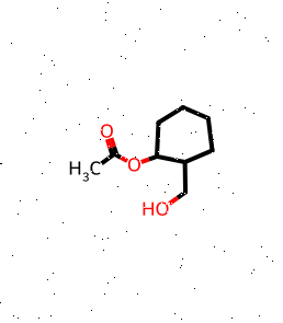 CC(=O)OC1CCCCC1CO